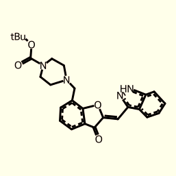 CC(C)(C)OC(=O)N1CCN(Cc2cccc3c2O/C(=C\c2n[nH]c4ccccc24)C3=O)CC1